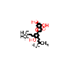 CC(C)=CCc1cc(-c2cc(=O)c3c(O)cc(O)cc3o2)cc(CC=C(C)C)c1O